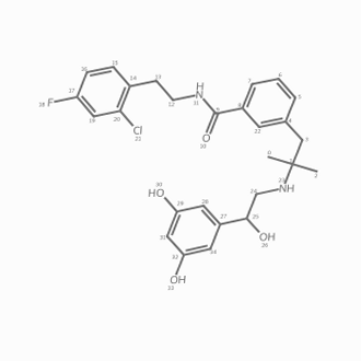 CC(C)(Cc1cccc(C(=O)NCCc2ccc(F)cc2Cl)c1)NCC(O)c1cc(O)cc(O)c1